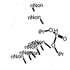 CC(C)O[PH](=O)OC(C)C.CCCCCCCCCC.CCCCCCCCCC.CCCCCCCCCC.CCCCCCCCCC.CCCCCCCCCC.CCCCCCCCCC.CCCCCCCCCC.CCCCCCCCCC